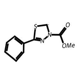 COC(=O)N1[CH]SC(c2ccccc2)=N1